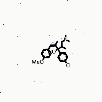 COc1ccc(/C=C(/C)C(O)(c2ccc(Cl)cc2)C(C)CN(C)C)cc1